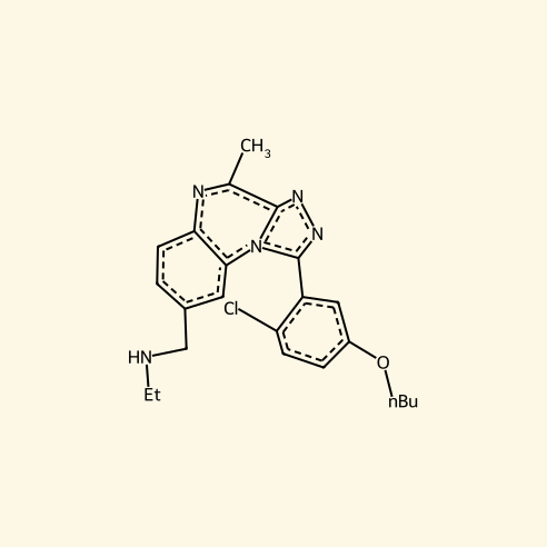 CCCCOc1ccc(Cl)c(-c2nnc3c(C)nc4ccc(CNCC)cc4n23)c1